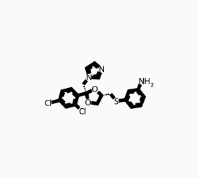 Nc1cccc(SC[C@@H]2CO[C@@](Cn3ccnc3)(c3ccc(Cl)cc3Cl)O2)c1